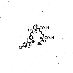 CC(C)CC(NC(=O)Cc1ccc(NC(=NC#N)Nc2ccc(Cl)cc2)cc1)C(=O)NC(CC=CCC(NC(=O)CC(C)(C)C)C(=O)O)C(=O)O